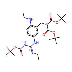 CC/N=C(/NC(=O)OC(C)(C)C)Nc1ccc(NCC)c(CN(C(=O)OC(C)(C)C)C(=O)OC(C)(C)C)c1